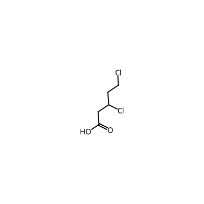 O=C(O)CC(Cl)CCCl